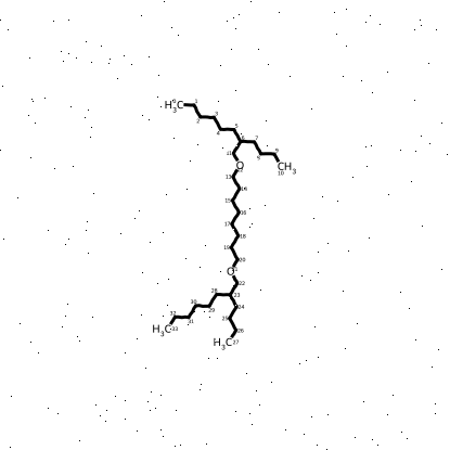 CCCCCCC(CCCC)COCCCCCCCCOCC(CCCC)CCCCCC